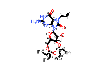 C=CCn1c(=O)n([C@@H]2O[C@@H]3CO[Si](CC(C)C)(CC(C)C)O[Si](CC(C)C)(CC(C)C)O[C@H]3[C@H]2O)c2nc(N)[nH]c(=O)c21